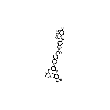 C[C@@H]1Cc2c(ccc3[nH]ncc23)[C@@H](c2c(F)cc(N3CCC4(CCN(CC(=O)N5Cc6cc7c(cc6C5)C(=O)N(C5CCC(=O)NC5=O)C7=O)CC4)CC3)cc2F)N1CC(F)F